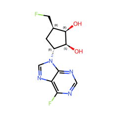 O[C@@H]1[C@H](CF)C[C@@H](n2cnc3c(F)ncnc32)[C@@H]1O